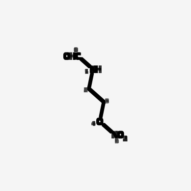 O=CNCCO[N+](=O)[O-]